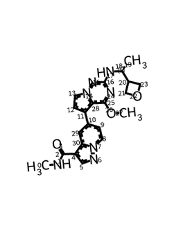 CNC(=O)c1cnn2ccc(-c3ccn4nc(N[C@@H](C)C5COC5)nc(OC)c34)cc12